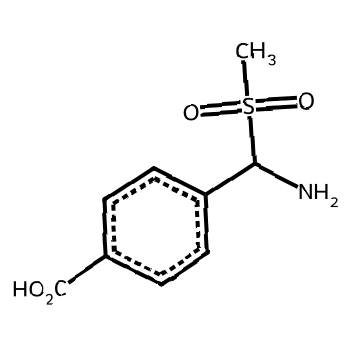 CS(=O)(=O)C(N)c1ccc(C(=O)O)cc1